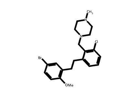 COc1ccc(Br)cc1CCc1cccc(Cl)c1CN1CCN(C)CC1